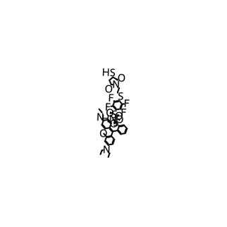 CC/N=c1\ccc2c(-c3ccccc3S(=O)(=O)NS(=O)(=O)c3c(F)c(F)c(SCCN4C(=O)CC(S)C4=O)c(F)c3F)c3ccc(N(CC)CC)cc3oc-2c1